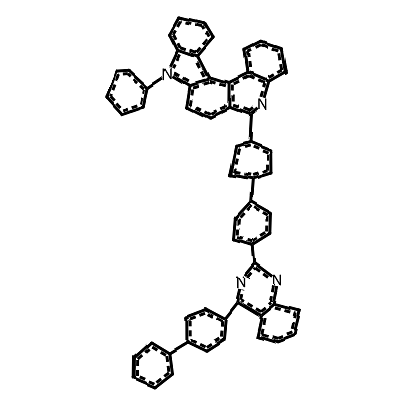 c1ccc(-c2ccc(-c3nc(-c4ccc(-c5ccc(-c6nc7ccccc7c7c6ccc6c7c7ccccc7n6-c6ccccc6)cc5)cc4)nc4ccccc34)cc2)cc1